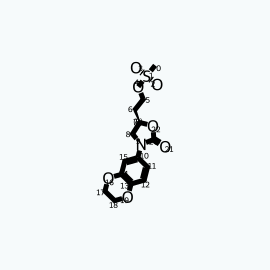 CS(=O)(=O)OCC[C@@H]1CN(c2ccc3c(c2)OCCO3)C(=O)O1